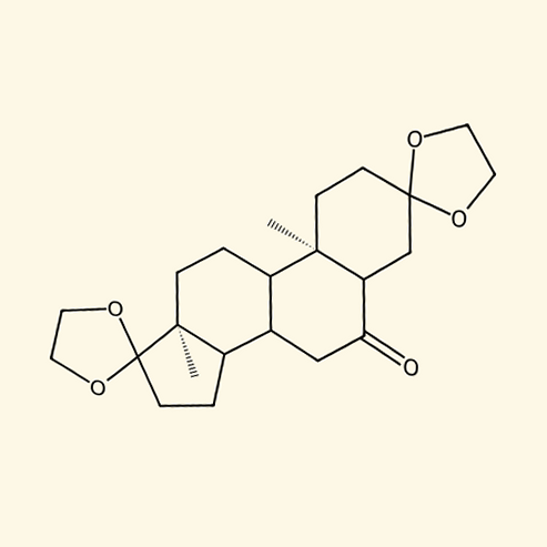 C[C@]12CCC3(CC1C(=O)CC1C2CC[C@@]2(C)C1CCC21OCCO1)OCCO3